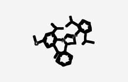 COc1cc(C(C)C)c(N2C=[N+](c3c(C(C)C)cccc3C(C)C)CC2c2ccccc2)c(C(C)C)c1